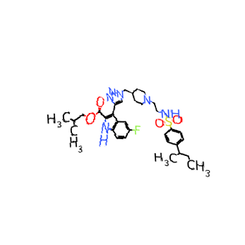 CCC(C)c1ccc(S(=O)(=O)NCCN2CCC(Cn3cc(-c4c(C(=O)OCC(C)C)[nH]c5ccc(F)cc45)nn3)CC2)cc1